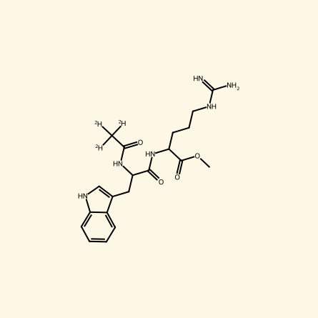 [2H]C([2H])([2H])C(=O)NC(Cc1c[nH]c2ccccc12)C(=O)NC(CCCNC(=N)N)C(=O)OC